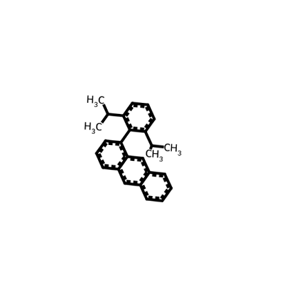 CC(C)c1cccc(C(C)C)c1-c1cccc2cc3ccccc3cc12